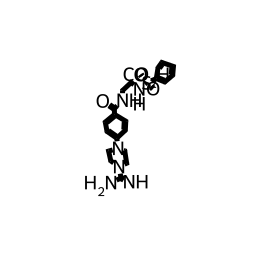 N=C(N)N1CCN(c2ccc(C(=O)NC[C@H](NS(=O)(=O)c3ccccc3)C(=O)O)cc2)CC1